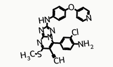 C#Cc1c(SC)nc2nc(Nc3ccc(Oc4ccncc4)cc3)nn2c1-c1ccc(N)c(Cl)c1